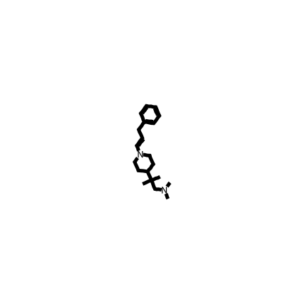 CN(C)CC(C)(C)C1CCN(/C=C/Cc2ccccc2)CC1